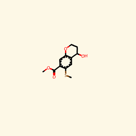 COC(=O)c1cc2c(cc1SC)C(O)CCO2